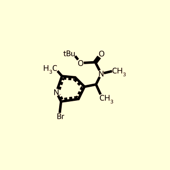 Cc1cc(C(C)N(C)C(=O)OC(C)(C)C)cc(Br)n1